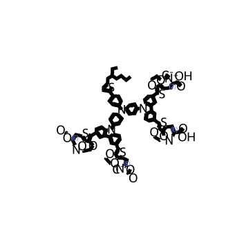 [C-]#[N+]/C(=C\c1sc(-c2ccc3c(c2)c2cc(-c4sc(/C=C(\C#N)C(=O)O)c5c4OCCO5)ccc2n3-c2ccc(N(c3ccc(-c4ccc(CC(CC)CCCC)s4)cc3)c3ccc(-n4c5ccc(-c6sc(/C=C(\C#N)OC=O)c7c6OCCO7)cc5c5cc(-c6sc(/C=C(\[N+]#[C-])OC=O)c7c6OCCO7)ccc54)cc3)cc2)c2c1OCCO2)C(=O)O